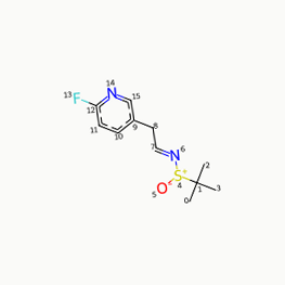 CC(C)(C)[S+]([O-])N=CCc1ccc(F)nc1